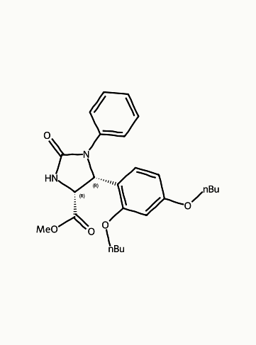 CCCCOc1ccc([C@@H]2[C@H](C(=O)OC)NC(=O)N2c2ccccc2)c(OCCCC)c1